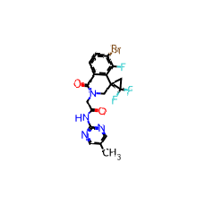 Cc1cnc(NC(=O)CN2CC3(CC3(F)F)c3c(ccc(Br)c3F)C2=O)nc1